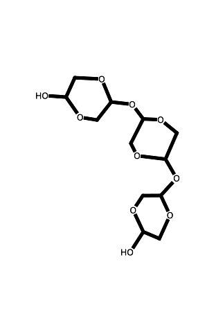 OC1COC(OC2COC(OC3COC(O)CO3)CO2)CO1